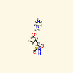 CN1CCN(CCCOc2cccc(/C=C3\SC(=O)NC3=O)c2)CC1